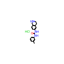 Cc1cccc(NC(=O)Nc2ccc3c(c2)CCNC3)c1.Cl